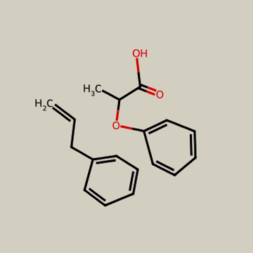 C=CCc1ccccc1.CC(Oc1ccccc1)C(=O)O